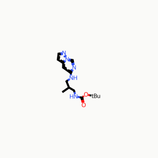 CC(CNC(=O)OC(C)(C)C)CNc1cc2ccnn2cn1